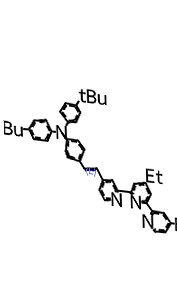 CCc1ccnc(-c2cc(CC)cc(-c3cc(/C=C/c4ccc(N(c5ccc(C(C)(C)C)cc5)c5ccc(C(C)(C)C)cc5)cc4)ccn3)n2)c1